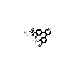 Cc1cc(-c2ccncc2-c2ccc(S(C)(=O)=O)c(F)c2)ccc1Br